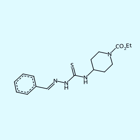 CCOC(=O)N1CCC(NC(=S)N/N=C/c2ccccc2)CC1